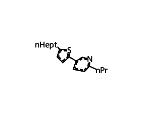 CCCCCCCc1ccc(-c2ccc(CCC)nc2)s1